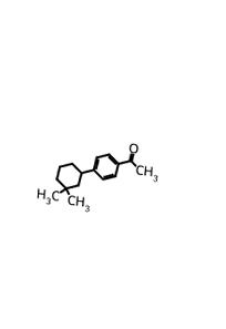 CC(=O)c1ccc(C2CCCC(C)(C)C2)cc1